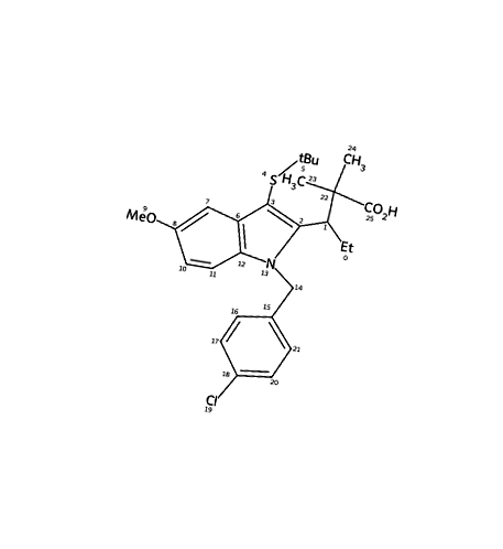 CCC(c1c(SC(C)(C)C)c2cc(OC)ccc2n1Cc1ccc(Cl)cc1)C(C)(C)C(=O)O